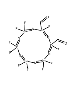 O=CP1(F)=NP(F)(F)=NP(F)(F)=NP(F)(F)=NP(F)(F)=NP(F)(C=O)=N1